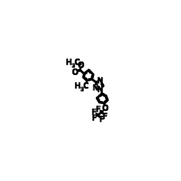 COC(=O)c1ccc(-c2ncn(-c3ccc(OC(F)(F)C(F)(F)F)cc3)n2)c(C)c1